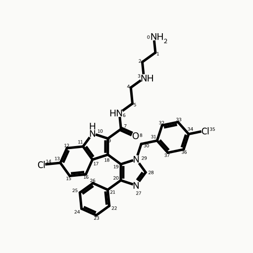 NCCNCCNC(=O)c1[nH]c2cc(Cl)ccc2c1-c1c(-c2ccccc2)ncn1Cc1ccc(Cl)cc1